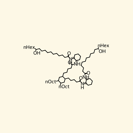 CCCCCCCCC1CC(CCCCC(=O)N[C@H]2CCCC[C@@H]2NC(=O)CCCCCCCCCCC(O)CCCCCC)C(CCCCC(=O)N[C@@H]2CCCC[C@H]2NC(=O)CCCCCCCCCCC(O)CCCCCC)CC1CCCCCCCC